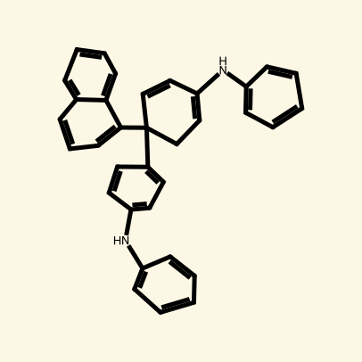 C1=CC(c2ccc(Nc3ccccc3)cc2)(c2cccc3ccccc23)CC=C1Nc1ccccc1